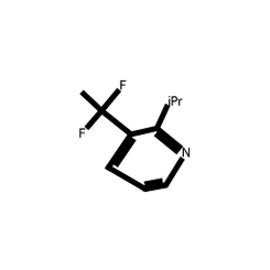 CC(C)c1ncccc1C(C)(F)F